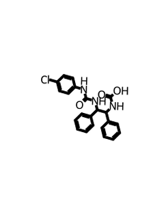 O=C(O)NC(c1ccccc1)C(NC(=O)Nc1ccc(Cl)cc1)c1ccccc1